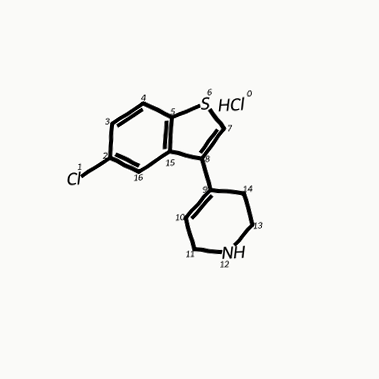 Cl.Clc1ccc2scc(C3=CCNCC3)c2c1